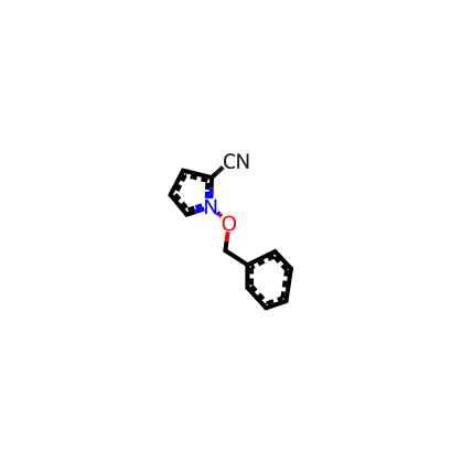 N#Cc1cccn1OCc1ccccc1